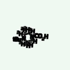 [2H]C1([2H])N(C(=O)O)C([2H])([2H])C([2H])([2H])N(C(C)(C)C)C1([2H])[2H]